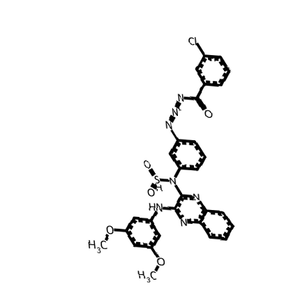 COc1cc(Nc2nc3ccccc3nc2N(c2cccc(N=[N+]=NC(=O)c3cccc(Cl)c3)c2)[SH](=O)=O)cc(OC)c1